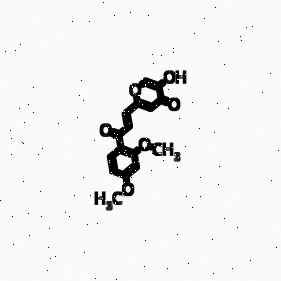 COc1ccc(C(=O)/C=C/c2cc(=O)c(O)co2)c(OC)c1